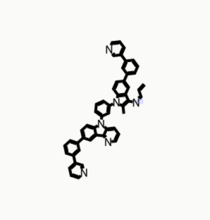 C=C/C=N\c1c(C)n(-c2cccc(-n3c4ccc(-c5cccc(-c6cccnc6)c5)cc4c4ncccc43)c2)c2ccc(-c3cccc(-c4cccnc4)c3)cc12